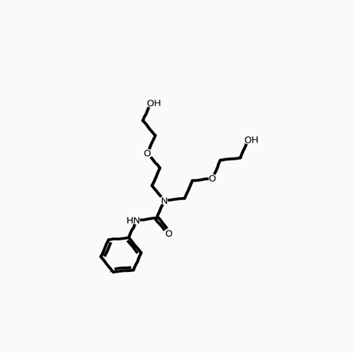 O=C(Nc1cc[c]cc1)N(CCOCCO)CCOCCO